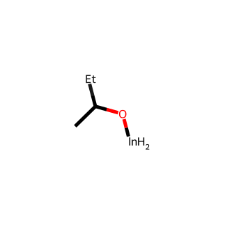 CCC(C)[O][InH2]